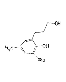 Cc1cc(CCCO)c(O)c(C(C)(C)C)c1